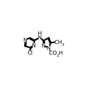 Cc1cc(Nc2cncc(Cl)n2)nn1C(=O)O